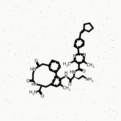 Cc1cc2cc(c1NC(=O)[C@H](CCN)NC(=O)c1c(C)nc(-c3ccc(C=C4CCCC4)cc3)nc1C)-c1cccc(c1)CC(=O)NCC(=O)NC(C(N)=O)C2